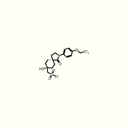 CCS(=O)(=O)C[C@]1(O)CC[C@@]2(CCN(c3ccc(OCC(F)(F)F)cc3)C2=O)CC1